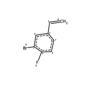 C=[C]c1ccc(F)c(Br)c1